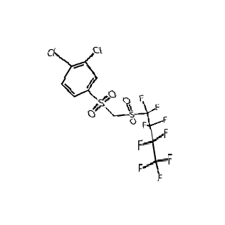 O=S(=O)(CS(=O)(=O)C(F)(F)C(F)(F)C(F)(F)C(F)(F)F)c1ccc(Cl)c(Cl)c1